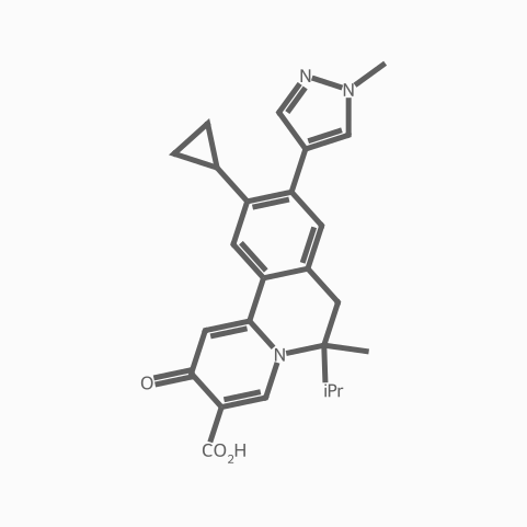 CC(C)C1(C)Cc2cc(-c3cnn(C)c3)c(C3CC3)cc2-c2cc(=O)c(C(=O)O)cn21